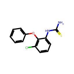 NC(=S)Nc1cccc(Cl)c1Oc1ccccc1